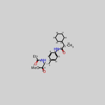 CCC(=O)N[C@H](Cc1ccc(NC(=O)[C@@H](C)C2CCCCC2)cc1)C(=O)OC